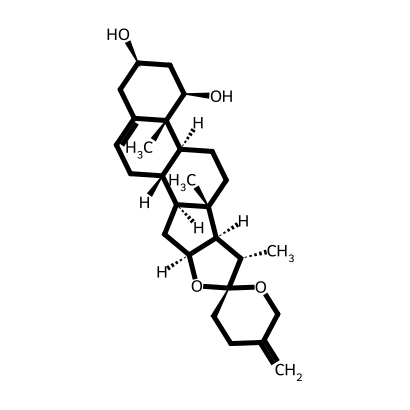 C=C1CC[C@@]2(OC1)O[C@H]1C[C@H]3[C@@H]4CC=C5C[C@@H](O)C[C@@H](O)[C@]5(C)[C@H]4CC[C@]3(C)[C@H]1[C@@H]2C